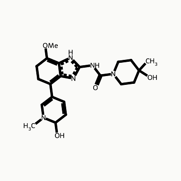 COC1=c2[nH]c(NC(=O)N3CCC(C)(O)CC3)nc2=C(C2=CN(C)C(O)C=C2)CC1